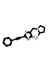 CC1CCCN1Cc1cnc(C#Cc2ccccc2)s1